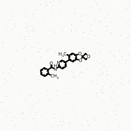 Cc1ccccc1C(=O)Nc1ccc(-c2cc3c(cc2C)OC2(COC2)O3)cn1